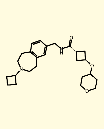 O=C(NCc1ccc2c(c1)CCN(C1CCC1)CC2)[C@H]1C[C@H](OC2CCOCC2)C1